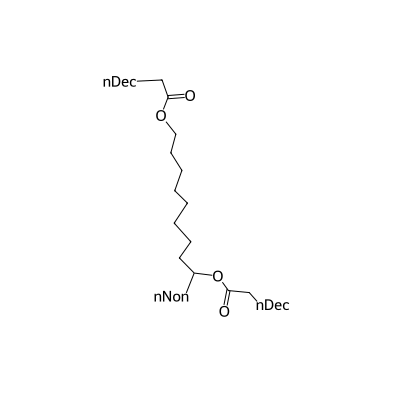 CCCCCCCCCCCC(=O)OCCCCCCCCC(CCCCCCCCC)OC(=O)CCCCCCCCCCC